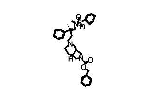 CN(C[C@@](C)(CCN1CC[C@H]2CN(C(=O)OCc3ccccc3)CC2C1)c1ccccc1)S(=O)(=O)c1ccccc1